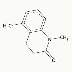 Cc1cccc2c1CCC(=O)N2C